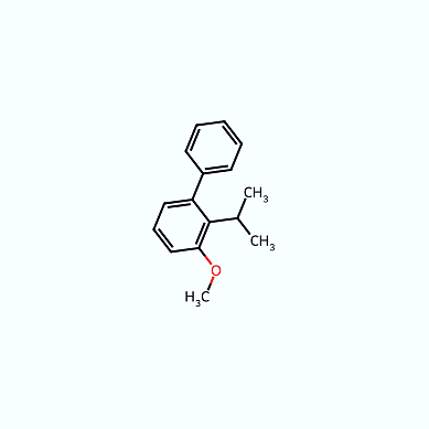 COc1cccc(-c2ccccc2)c1C(C)C